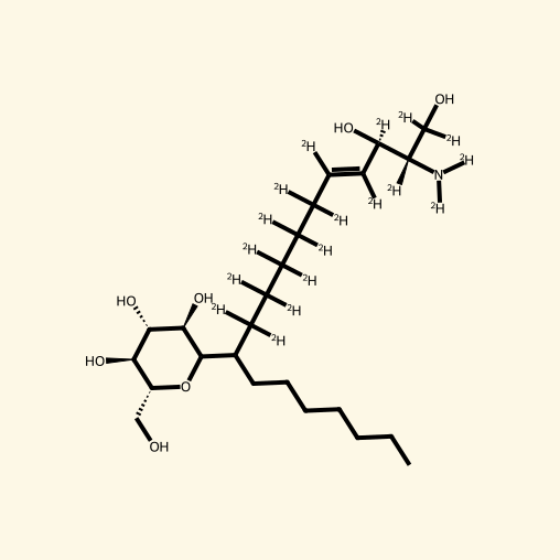 [2H]/C(=C(/[2H])[C@@]([2H])(O)[C@@]([2H])(N([2H])[2H])C([2H])([2H])O)C([2H])([2H])C([2H])([2H])C([2H])([2H])C([2H])([2H])C([2H])([2H])C(CCCCCCC)C1O[C@H](CO)[C@@H](O)[C@H](O)[C@H]1O